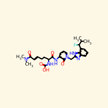 CC(C)C(F)c1cccc2nc(Cn3cccc(NC(=O)C(CC/C=C/C(=O)N(C)C)NC(=O)O)c3=O)[nH]c12